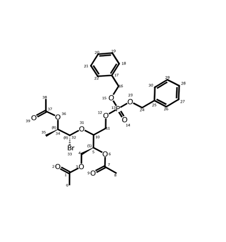 CC(=O)OC[C@H](OC(C)=O)C(COP(=O)(OCc1ccccc1)OCc1ccccc1)O[C@H](Br)[C@@H](C)OC(C)=O